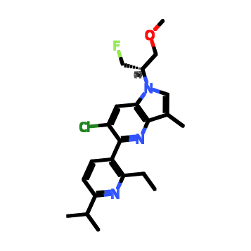 CCc1nc(C(C)C)ccc1-c1nc2c(C)cn([C@H](CF)COC)c2cc1Cl